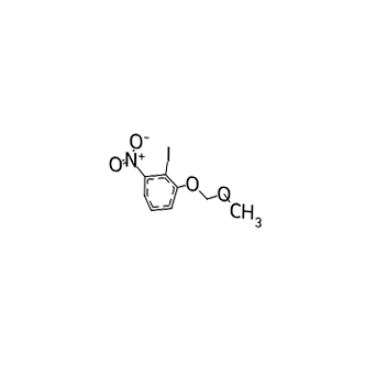 COCOc1cccc([N+](=O)[O-])c1I